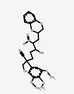 CCC(C#N)(CCC(O)C(CC1COc2ccccc2O1)[N+](=O)[O-])c1cc(OC)c(OC)c(OC)c1